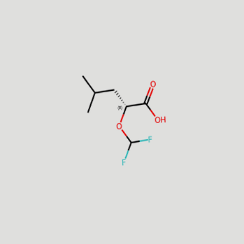 CC(C)C[C@@H](OC(F)F)C(=O)O